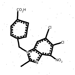 Cc1nc2c([N+](=O)[O-])c(Cl)c(Cl)cc2n1Cc1ccc(C(=O)O)cc1